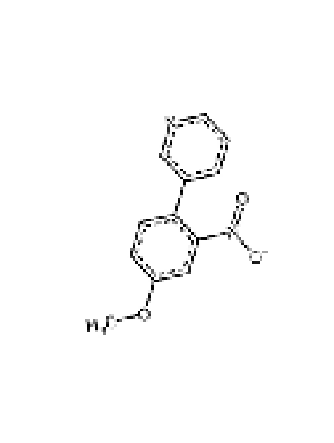 COc1ccc(-c2cccnc2)c([N+](=O)[O-])c1